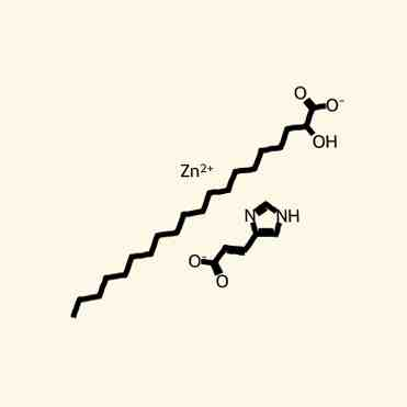 CCCCCCCCCCCCCCCCCCC(O)C(=O)[O-].O=C([O-])C=Cc1c[nH]cn1.[Zn+2]